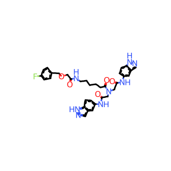 O=C(COCc1ccc(F)cc1)NCCCCCC(=O)N(CC(=O)Nc1ccc2[nH]ncc2c1)CC(=O)Nc1ccc2[nH]ncc2c1